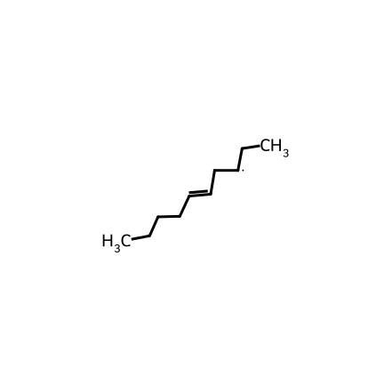 CC[CH]C/C=C/CCCC